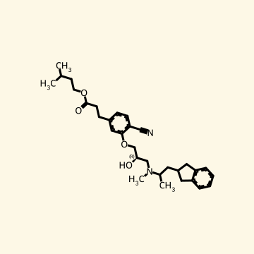 CC(C)CCOC(=O)CCc1ccc(C#N)c(OC[C@H](O)CN(C)C(C)CC2Cc3ccccc3C2)c1